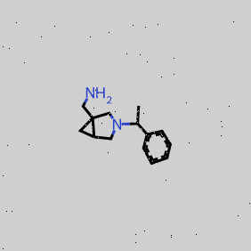 CC(c1ccccc1)N1CC2CC2(CN)C1